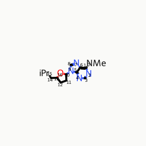 CNc1ncnc2c1ncn2C1CCC(CC(C)C)O1